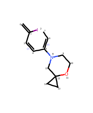 C=C(I)/C=C\C(=C/C)N1CCOC2(CC2)C1